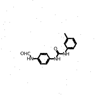 Cc1cccc(NC(=O)Nc2ccc(NC=O)cc2)c1